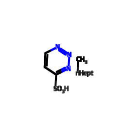 CCCCCCCC.O=S(=O)(O)c1ccnnn1